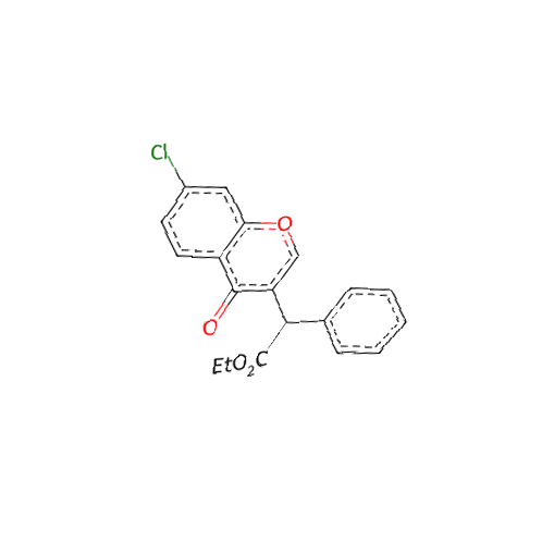 CCOC(=O)C(c1ccccc1)c1coc2cc(Cl)ccc2c1=O